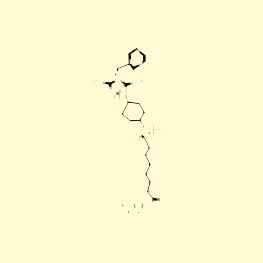 CNC(=O)CCCCCCC(=O)NC1CCC(n2sc(=O)n(Cc3ccccc3)c2=O)CC1